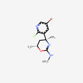 C[C@@]1(c2cc(Br)cnc2F)C[C@@H](C(F)(F)F)OC(NC(=O)O)=N1